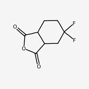 O=C1OC(=O)C2CC(F)(F)CCC12